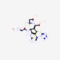 C=CCC(Sc1nnn[nH]1)C1=C(C(=O)O)N2C(=O)C[C@@H]2SC1(NC(=O)C=NOC)c1csc(N)n1